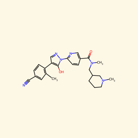 Cc1cc(C#N)ccc1-c1cnn(-c2ccc(C(=O)N(C)CC3CCCN(C)C3)cn2)c1O